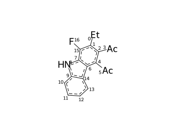 CCc1c(C(C)=O)c(C(C)=O)c2c([nH]c3ccccc32)c1F